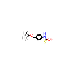 CC(C)OCc1ccc(NC(O)=S)cc1